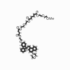 COCCOCCOC(=O)CCCCC(=O)OCCOCCOC(=O)CCC(=O)OCCOc1ccc(C2(c3ccccc3)C=Cc3c(cc(N4CCOCC4)c4ccccc34)O2)cc1